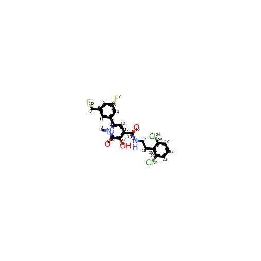 Cn1c(-c2cc(F)cc(CF)c2)cc(C(=O)NCCc2c(Cl)cccc2Cl)c(O)c1=O